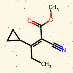 CCC(=C(C#N)C(=O)OC)C1CC1